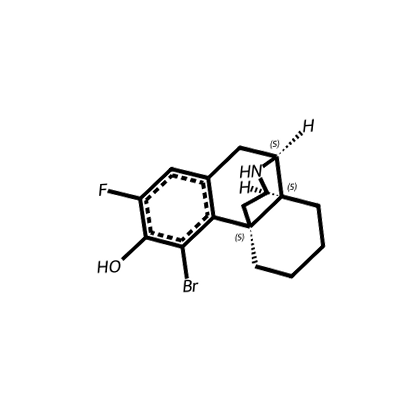 Oc1c(F)cc2c(c1Br)[C@]13CCCC[C@@H]1[C@H](C2)NCC3